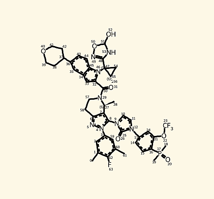 Cc1cc(-n2nc3c(c2-n2ccn(-c4ccc(P(C)(C)=O)c(OC(F)(F)F)c4)c2=O)[C@H](C)N(C(=O)c2cc4cc(C5CCOCC5)ccc4n2[C@@]2(C4=NOC(O)N4)C[C@@H]2C)CC3)cc(C)c1F